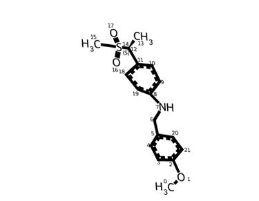 COc1ccc(CNc2ccc([C@H](C)S(C)(=O)=O)cc2)cc1